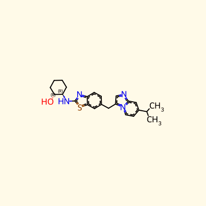 CC(C)c1ccn2c(Cc3ccc4nc(N[C@@H]5CCCC[C@H]5O)sc4c3)cnc2c1